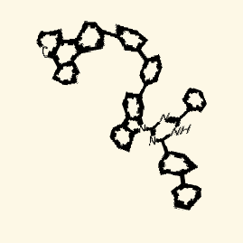 c1ccc(C2=NC(n3c4ccccc4c4ccc(-c5cccc(-c6cccc(-c7ccc8c9ccccc9c9ccccc9c8c7)c6)c5)cc43)=NC(c3ccc(-c4ccccc4)cc3)N2)cc1